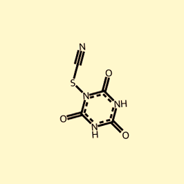 N#CSn1c(=O)[nH]c(=O)[nH]c1=O